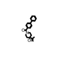 CC(C)C1(O)CCN(C(=O)c2ccc(-c3ccccc3)cc2)CC1